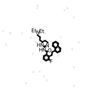 CCN(CC)CCCC1CCN=C(NC(=O)c2cccc(F)c2CCc2cccc3ccccc23)N1